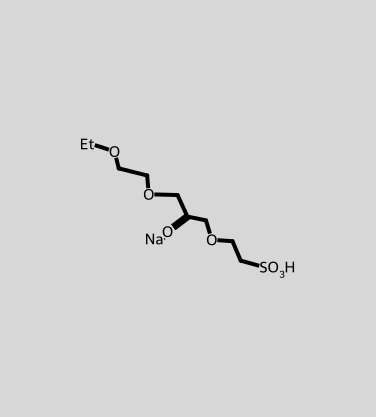 CCOCCOCC(=O)COCCS(=O)(=O)O.[Na]